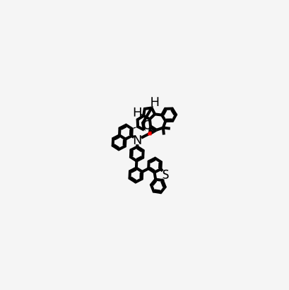 C[C@@H]1C[C@H]2C[C@H]3CC1CC21c2cc(N(c4ccc(-c5ccccc5-c5cccc6sc7ccccc7c56)cc4)c4cccc5ccccc45)ccc2C(C)(C)c2ccccc2C31